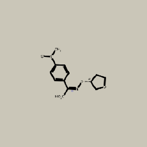 C[S+]([O-])c1ccc(/C(=N\O[C@@H]2CCOC2)C(=O)O)cc1